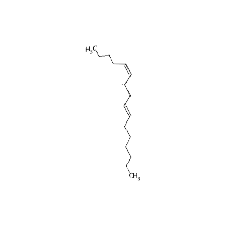 CCCC/C=C\[CH]CC=CCCCCCC